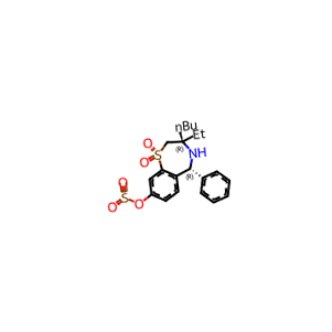 CCCC[C@]1(CC)CS(=O)(=O)c2cc(O[SH](=O)=O)ccc2[C@@H](c2ccccc2)N1